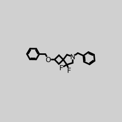 FC1(F)CN(Cc2ccccc2)CC12CC(OCc1ccccc1)C2